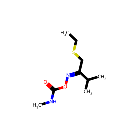 CCSCC(=NOC(=O)NC)C(C)C